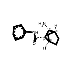 N[C@@H]1[C@H]2CC[C@H](C2)[C@@H]1C(=O)Nc1ccccc1